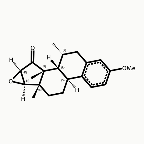 COc1ccc2c(c1)C[C@@H](C)[C@@H]1[C@@H]2CC[C@]2(C)[C@H]3O[C@H]3C(=O)[C@]12C